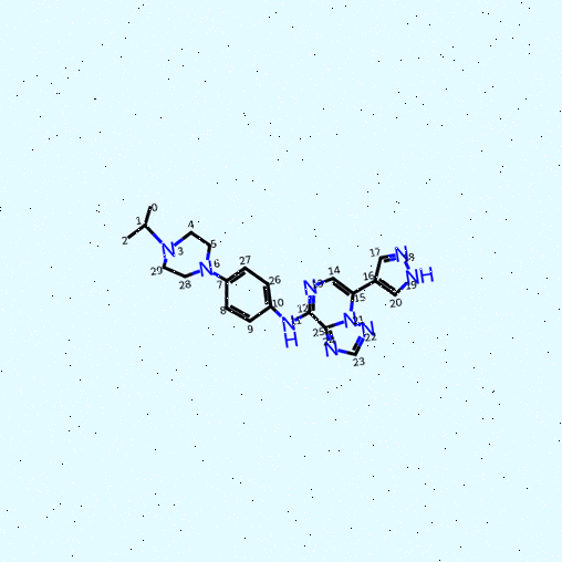 CC(C)N1CCN(c2ccc(Nc3ncc(-c4cn[nH]c4)n4ncnc34)cc2)CC1